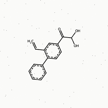 C=Cc1cc(C(=O)C(O)O)ccc1-c1ccccc1